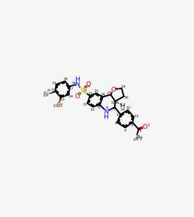 CC(C)C(=O)c1ccc(C2Nc3ccc(S(=O)(=O)Nc4ccc(Br)c(Br)c4)cc3C3OCC[C@@H]23)cc1